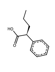 CCC[C@H](C(=O)O)c1ccccc1